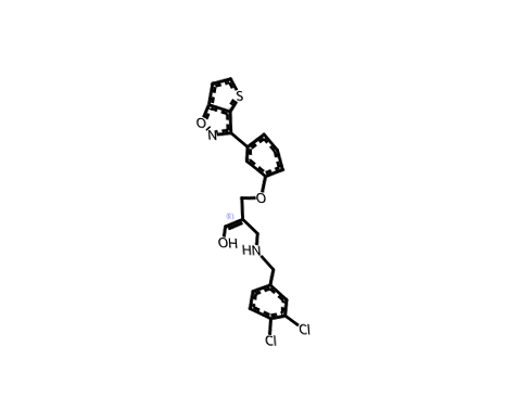 O/C=C(\CNCc1ccc(Cl)c(Cl)c1)COc1cccc(-c2noc3ccsc23)c1